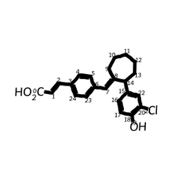 O=C(O)/C=C/c1ccc(C=C2CCCCCC2c2ccc(O)c(Cl)c2)cc1